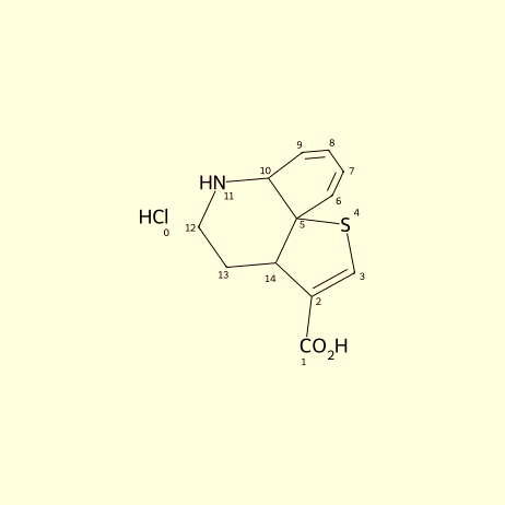 Cl.O=C(O)C1=CSC23C=CC=CC2NCCC13